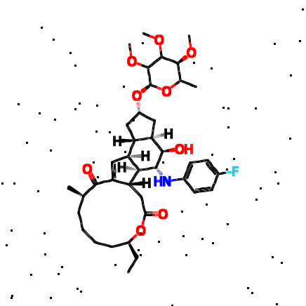 CC[C@H]1CCCC[C@@H](C)C(=O)C2=C[C@H]3[C@@H]4C[C@H](O[C@@H]5OC(C)[C@H](OC)C(OC)C5OC)C[C@H]4[C@@H](O)[C@H](Nc4ccc(F)cc4)[C@H]3[C@@H]2CC(=O)O1